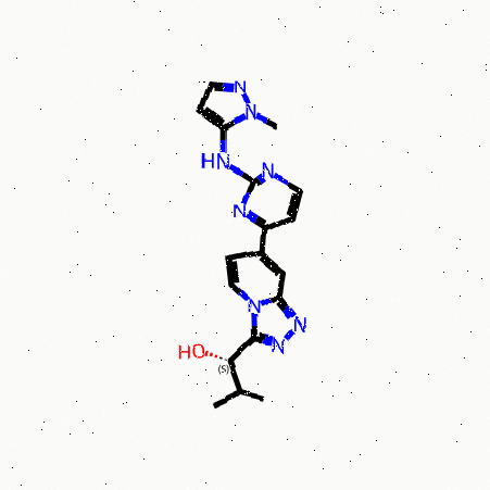 CC(C)[C@H](O)c1nnc2cc(-c3ccnc(Nc4ccnn4C)n3)ccn12